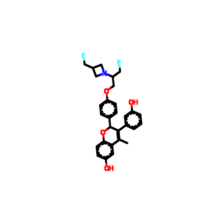 CC1=C(c2cccc(O)c2)C(c2ccc(OCC(CF)N3CC(CF)C3)cc2)Oc2ccc(O)cc21